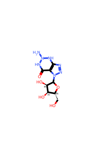 NN1NC(=O)c2c(nnn2C2O[C@H](CO)[C@@H](O)[C@H]2O)N1